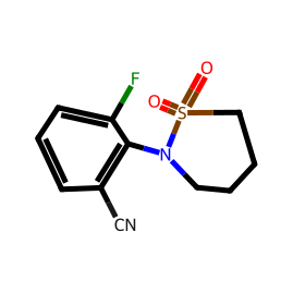 N#Cc1cccc(F)c1N1CCCCS1(=O)=O